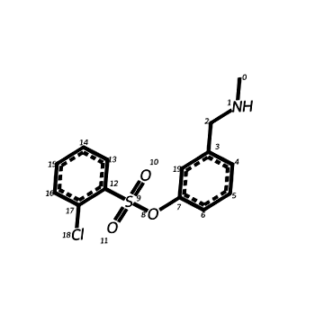 CNCc1cccc(OS(=O)(=O)c2ccccc2Cl)c1